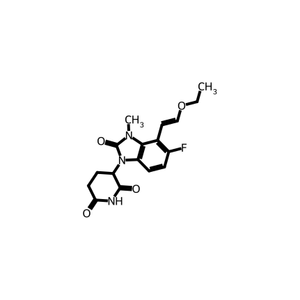 CCOC=Cc1c(F)ccc2c1n(C)c(=O)n2C1CCC(=O)NC1=O